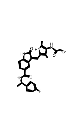 Cc1[nH]c(/C=C2\C(=O)Nc3ccc(C(=O)NC(C)c4ccc(F)cc4)cc32)c(C)c1NC(=O)CBr